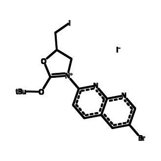 CC(C)(C)OC1=[N+](c2ccc3cc(Br)cnc3n2)CC(CI)O1.[I-]